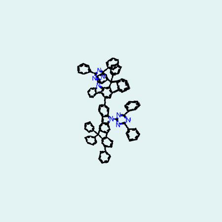 c1ccc(-c2ccc3c(c2)C(c2ccccc2)(c2ccccc2)c2cc4c5ccc(-c6cc7c(c8c6c6ccccc6n8-c6nc(-c8ccccc8)nc(-c8ccccc8)n6)C(c6ccccc6)(c6ccccc6)c6ccccc6-7)cc5n(-c5nc(-c6ccccc6)nc(-c6ccccc6)n5)c4cc2-3)cc1